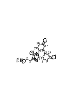 CCOCCn1nc(-c2ccc(Cl)cc2)n(-c2ccc(Cl)cc2)c1=O